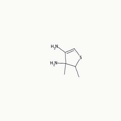 CC1SC=C(N)C1(C)N